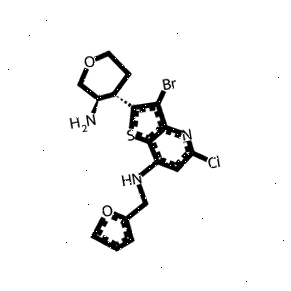 N[C@H]1COCC[C@@H]1c1sc2c(NCc3ccco3)cc(Cl)nc2c1Br